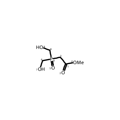 COC(=O)CP(=O)(CO)CO